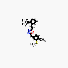 CSc1cc(Cc2nnc(/C=C/c3ccccc3C(C)C)o2)ccc1C